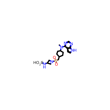 CN(c1ncnc2[nH]ccc12)C1CCC(CS(=O)(=O)N2CC(NC(=O)O)C2)CC1